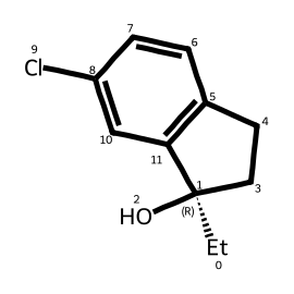 CC[C@@]1(O)CCc2ccc(Cl)cc21